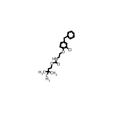 CC(C)(C)CCOC(=O)NCCOc1ccc(Cc2ccccc2)cc1Cl